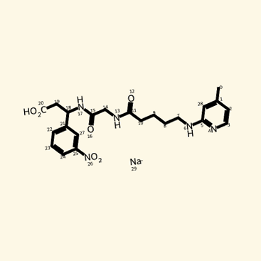 Cc1ccnc(NCCCCC(=O)NCC(=O)NC(CC(=O)O)c2cccc([N+](=O)[O-])c2)c1.[Na]